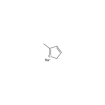 CC1=[C-]CC=C1.[Na+]